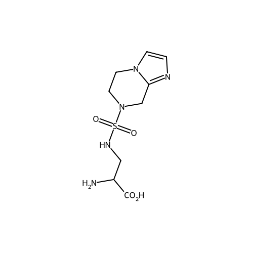 NC(CNS(=O)(=O)N1CCn2ccnc2C1)C(=O)O